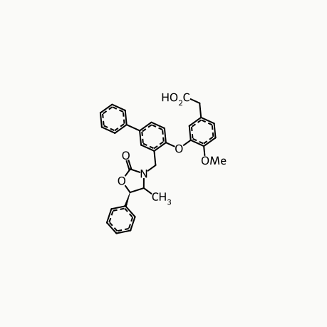 COc1ccc(CC(=O)O)cc1Oc1ccc(-c2ccccc2)cc1CN1C(=O)O[C@H](c2ccccc2)C1C